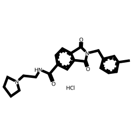 Cc1cccc(CN2C(=O)c3ccc(C(=O)NCCN4CCCC4)cc3C2=O)c1.Cl